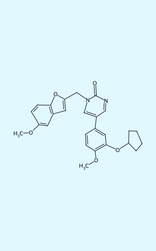 COc1ccc2oc(Cn3cc(-c4ccc(OC)c(OC5CCCC5)c4)cnc3=O)cc2c1